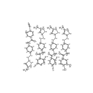 N#Cc1ccc(C(=O)Nc2ccc(CCC3COC(N)=N3)cc2)cn1.NC1=NC(CCc2ccc(NC(=O)c3cc(F)cnc3F)cc2)CO1.NC1=NC(CCc2ccc(NC(=O)c3ccc(F)nc3F)cc2)CO1.NC1=NC(CCc2ccc(NC(=O)c3cnc(Cl)c(Cl)c3)cc2)CO1